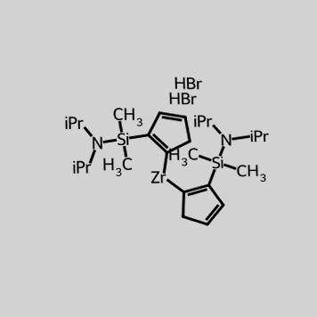 Br.Br.CC(C)N(C(C)C)[Si](C)(C)C1=[C]([Zr][C]2=C([Si](C)(C)N(C(C)C)C(C)C)C=CC2)CC=C1